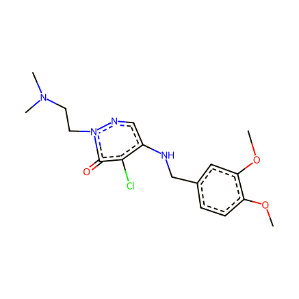 COc1ccc(CNc2cnn(CCN(C)C)c(=O)c2Cl)cc1OC